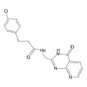 O=C(CCc1ccc(Cl)cc1)NCc1nc2ncccc2c(=O)[nH]1